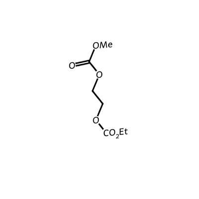 CCOC(=O)OCCOC(=O)OC